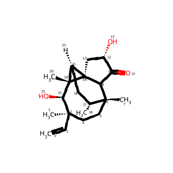 C=C[C@]1(C)CC[C@@]2(C)C3C(=O)[C@@H](O)C[C@]34[C@@H](C[C@H]2C)[C@@]4(C)[C@@H]1O